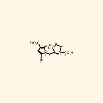 CCOC(=O)c1cc(Br)n(CC2CN(C(=O)O)CCO2)c1C